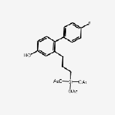 CC(=O)O[Si](CCCc1cc(O)ccc1-c1ccc(F)cc1)(OC(C)=O)OC(C)=O